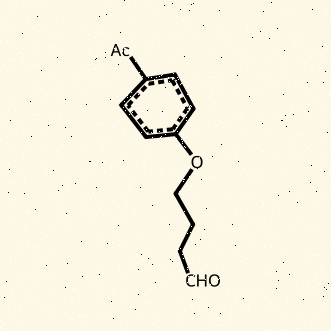 CC(=O)c1ccc(OCCCC=O)cc1